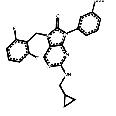 COc1cccc(-n2c(=O)n(Cc3c(F)cccc3F)c3cnc(NCC4CC4)nc32)c1